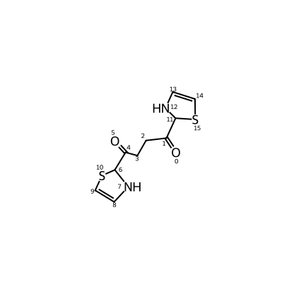 O=C(CCC(=O)C1NC=CS1)C1NC=CS1